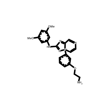 COc1cc(NC2=N[N+]3(c4cccc(OCCN)c4)C=CN=CC3=N2)cc(OC)c1